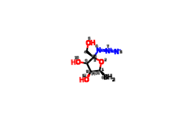 B[C@@H]1O[C@@](CO)(N=[N+]=[N-])C(O)[C@@H]1O